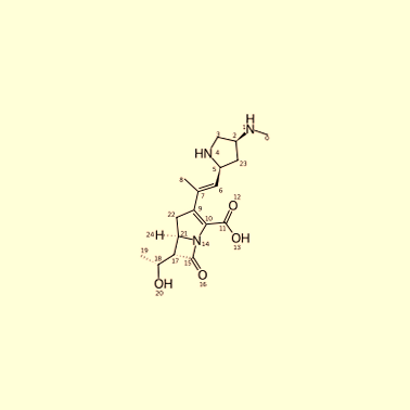 CN[C@@H]1CN[C@H](/C=C(\C)C2=C(C(=O)O)N3C(=O)[C@H]([C@@H](C)O)[C@H]3C2)C1